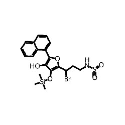 C[Si](C)(C)Oc1c(C(Br)CCN[SH](=O)=O)oc(-c2cccc3ccccc23)c1O